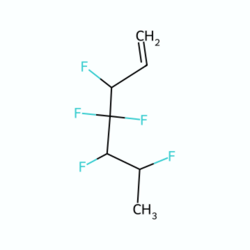 C=CC(F)C(F)(F)C(F)C(C)F